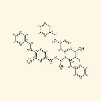 CC(C(O)c1ccc(OCc2ccccc2)cc1)N(Cc1ccccc1)C[C@H](O)COc1ccc(OCc2ccccc2)c(N)c1